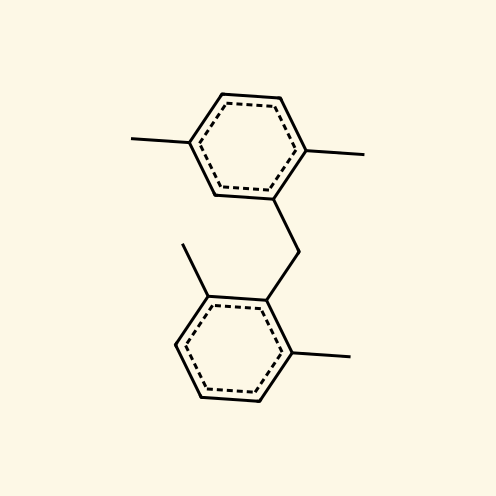 Cc1ccc(C)c(Cc2c(C)cccc2C)c1